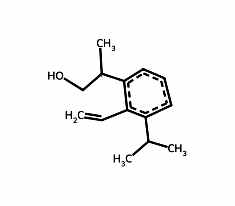 C=Cc1c([C](C)CO)cccc1C(C)C